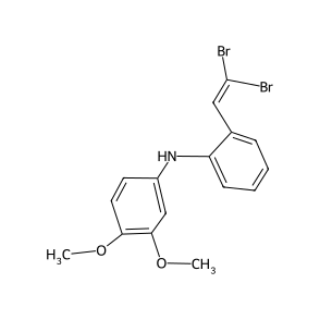 COc1ccc(Nc2ccccc2C=C(Br)Br)cc1OC